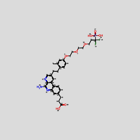 Cc1cc(OCCOCCOCCC(F)(F)P(=O)(O)O)ccc1CCc1cnc2c(N)nc3cc(CCC(=O)O)ccc3c2c1